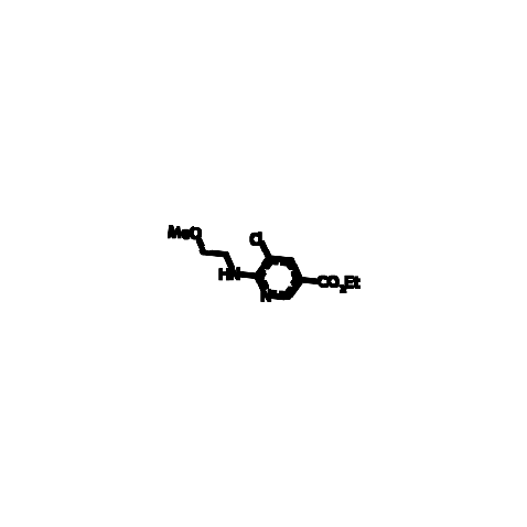 CCOC(=O)c1cnc(NCCOC)c(Cl)c1